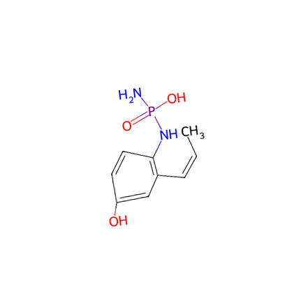 C/C=C\c1cc(O)ccc1NP(N)(=O)O